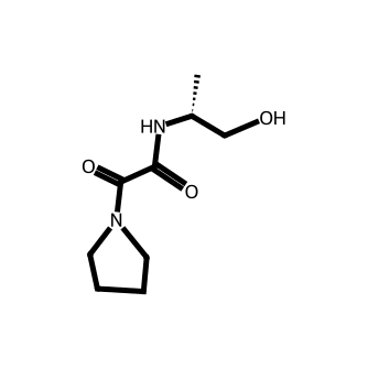 C[C@H](CO)NC(=O)C(=O)N1CCCC1